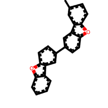 Cc1ccc2oc3ccc(-c4ccc5oc6ccccc6c5c4)cc3c2c1